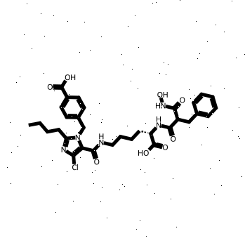 CCCCc1nc(Cl)c(C(=O)NCCCC[C@H](NC(=O)C(Cc2ccccc2)C(=O)NO)C(=O)O)n1Cc1ccc(C(=O)O)cc1